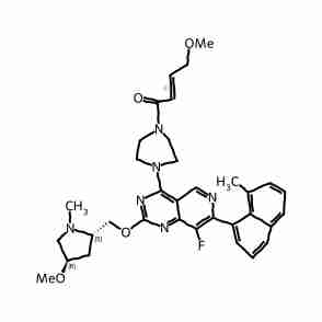 COC/C=C/C(=O)N1CCN(c2nc(OC[C@@H]3C[C@@H](OC)CN3C)nc3c(F)c(-c4cccc5cccc(C)c45)ncc23)CC1